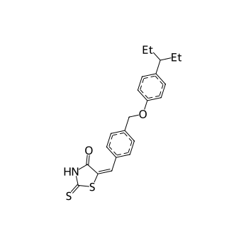 CCC(CC)c1ccc(OCc2ccc(C=C3SC(=S)NC3=O)cc2)cc1